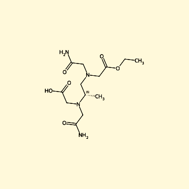 CCOC(=O)CN(CC(N)=O)C[C@H](C)N(CC(N)=O)CC(=O)O